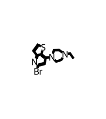 CCN1CCN(c2cc(Br)nc3ccsc23)CC1